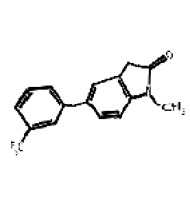 CN1C(=O)Cc2cc(-c3cccc(C(F)(F)F)c3)ccc21